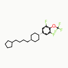 Fc1cc([C@H]2CC[C@H](CCCCC3CCCC3)CC2)cc(F)c1OC(F)(F)F